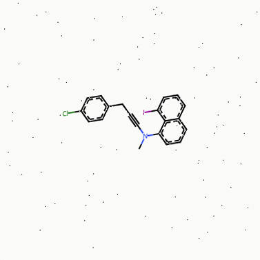 CN(C#CCc1ccc(Cl)cc1)c1cccc2cccc(I)c12